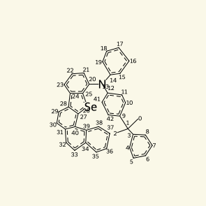 CC(C)(c1ccccc1)c1ccc(N(c2ccccc2)c2cccc3c2[se]c2c3ccc3ccc4ccccc4c32)cc1